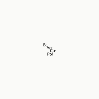 [Ag].[Bi].[Cu].[Pb]